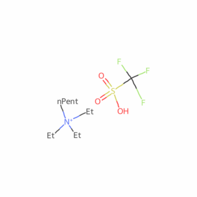 CCCCC[N+](CC)(CC)CC.O=S(=O)(O)C(F)(F)F